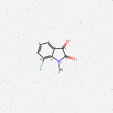 CC(C)N1C(=O)C(=O)c2cccc(F)c21